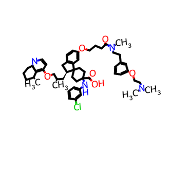 C[C@@H](COc1ccnc2c1[C@H](C)CCC2)C[C@H]1Cc2ccc(OCCCC(=O)N(C)CCc3cccc(OCCN(C)C)c3)cc2C12CCC(Nc1cccc(Cl)c1)(C(=O)O)CC2